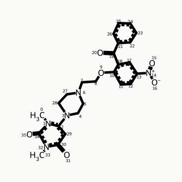 Cn1c(N2CCN(CCOc3ccc([N+](=O)[O-])cc3C(=O)c3ccccc3)CC2)cc(=O)n(C)c1=O